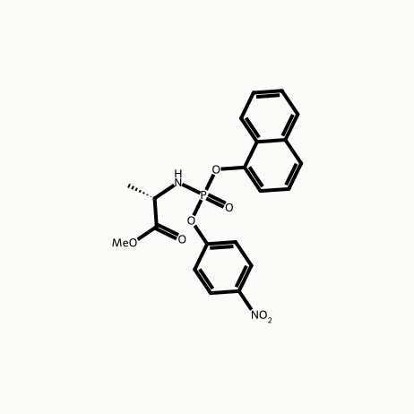 COC(=O)[C@H](C)NP(=O)(Oc1ccc([N+](=O)[O-])cc1)Oc1cccc2ccccc12